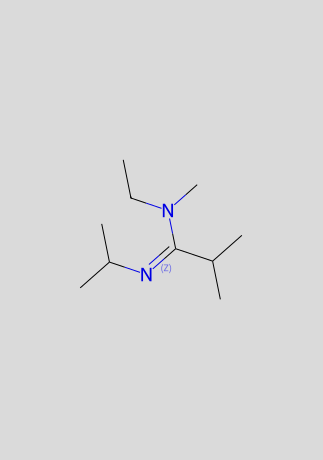 CCN(C)/C(=N\C(C)C)C(C)C